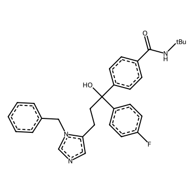 CC(C)(C)NC(=O)c1ccc(C(O)(CCc2cncn2Cc2ccccc2)c2ccc(F)cc2)cc1